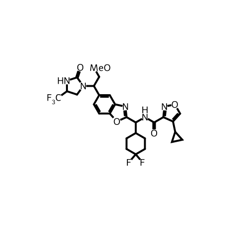 COCC(c1ccc2oc(C(NC(=O)c3nocc3C3CC3)C3CCC(F)(F)CC3)nc2c1)N1CC(C(F)(F)F)NC1=O